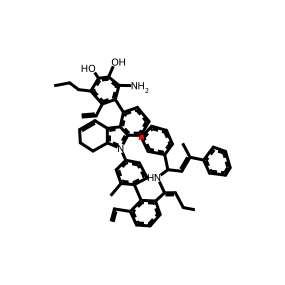 C=Cc1cccc(/C(=C\CC)NC(/C=C(\C)c2ccccc2)c2ccccc2)c1-c1ccc(-n2c3c(c4c(-c5c(N)c(O)c(O)c(CCC)c5C=C)cccc42)C=CCC3)cc1C